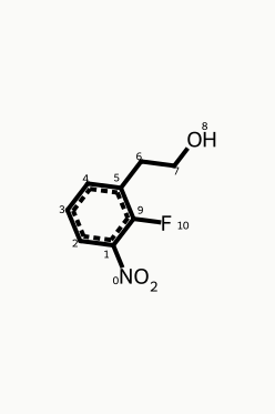 O=[N+]([O-])c1cccc(CCO)c1F